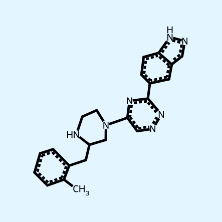 Cc1ccccc1CC1CN(c2cnnc(-c3ccc4[nH]ncc4c3)n2)CCN1